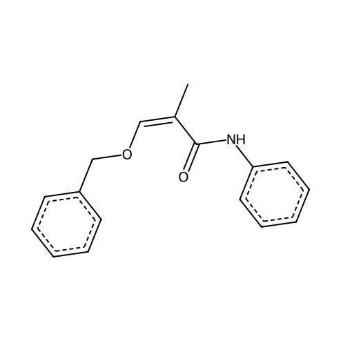 CC(=COCc1ccccc1)C(=O)Nc1ccccc1